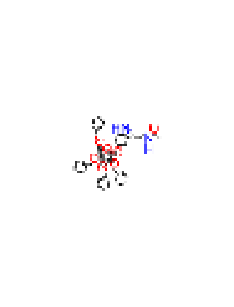 CC(=O)NCCc1c[nH]c2ccc(O[C@H]3O[C@H](COCc4ccccc4)[C@@H](OCc4ccccc4)[C@H](OCc4ccccc4)[C@H]3OCc3ccccc3)cc12